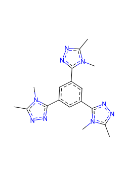 Cc1nnc(-c2cc(-c3nnc(C)n3C)cc(-c3nnc(C)n3C)c2)n1C